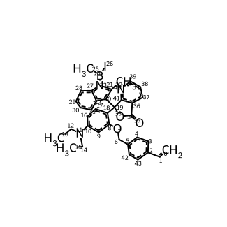 C=Cc1ccc(COc2cc(N(CC)CC)ccc2C2(c3c(C)n(B(C)I)c4ccccc34)OC(=O)c3cccnc32)cc1